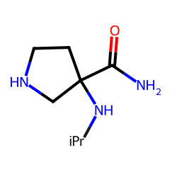 CC(C)NC1(C(N)=O)CCNC1